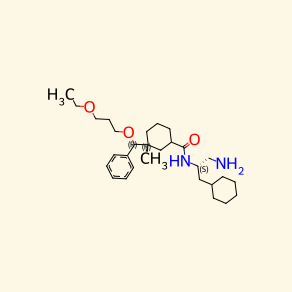 CCOCCCO[C@@H](c1ccccc1)[C@]1(C)CCCC(C(=O)N[C@H](CN)CC2CCCCC2)C1